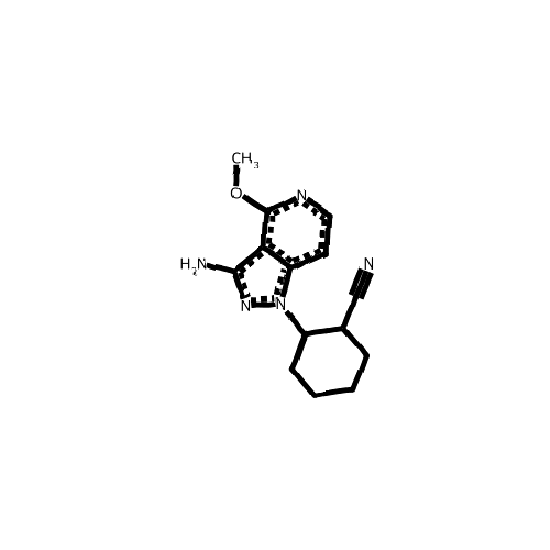 COc1nccc2c1c(N)nn2C1CCCCC1C#N